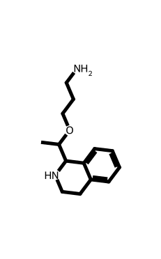 CC(OCCCN)C1NCCc2ccccc21